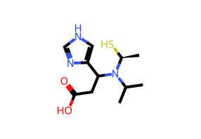 CC(C)N(C(CC(=O)O)c1c[nH]cn1)[C@H](C)S